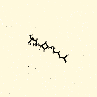 CC(C)CCCO[C@H]1C[C@H](NCC(C)C)C1